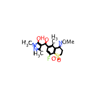 CO/N=C1\CCS(=O)(=O)c2c(F)cc(C(=O)c3c(C)nn(C)c3O)c(C)c21